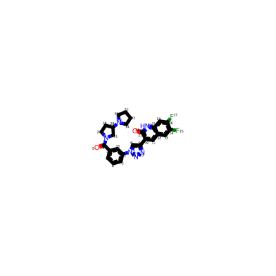 O=C(c1cccc(-n2cc(-c3cc4cc(F)c(F)cc4[nH]c3=O)nn2)c1)N1CCC(N2CCCC2)C1